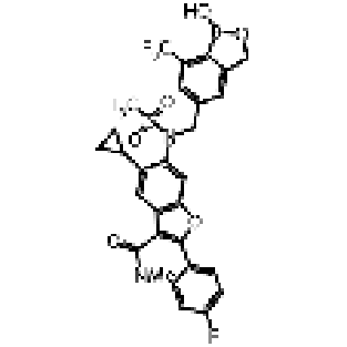 CNC(=O)c1c(-c2ccc(F)cc2)oc2cc(N(Cc3cc4c(c(C(F)(F)F)c3)B(O)OC4)S(C)(=O)=O)c(C3CC3)cc12